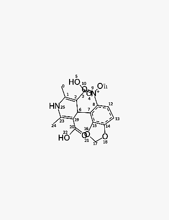 CC1=C(C(=O)O)C(c2c([N+](=O)[O-])ccc3c2OCO3)C(C(=O)O)=C(C)N1